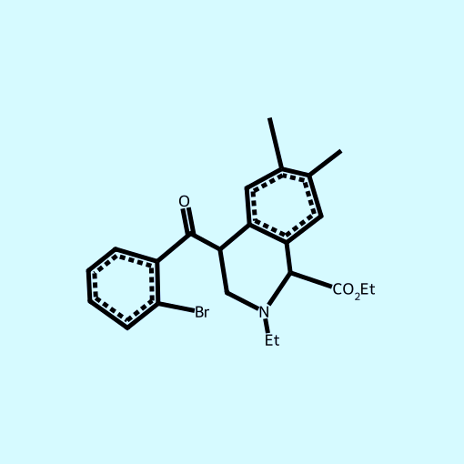 CCOC(=O)C1c2cc(C)c(C)cc2C(C(=O)c2ccccc2Br)CN1CC